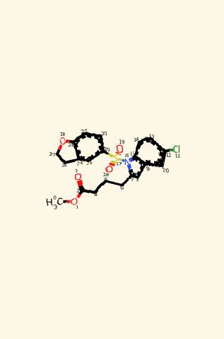 COC(=O)CCCc1cc2cc(Cl)ccc2n1S(=O)(=O)c1ccc2c(c1)CCO2